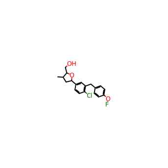 CC1CC(c2ccc(Cl)c(Cc3ccc(OF)cc3)c2)OC1CO